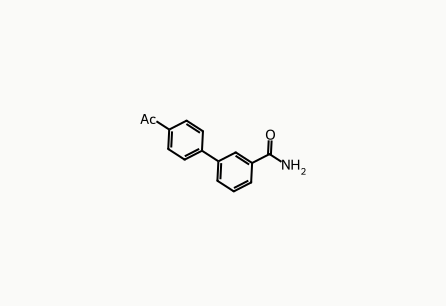 CC(=O)c1ccc(-c2cccc(C(N)=O)c2)cc1